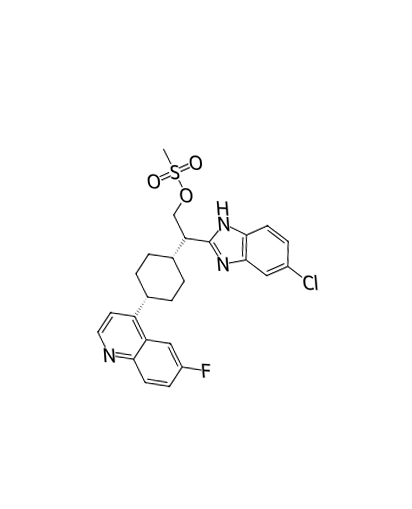 CS(=O)(=O)OCC(c1nc2cc(Cl)ccc2[nH]1)[C@H]1CC[C@@H](c2ccnc3ccc(F)cc32)CC1